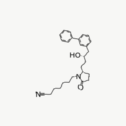 N#CCCCCCCN1C(=O)CCC1CCC(O)Cc1cccc(-c2ccccc2)c1